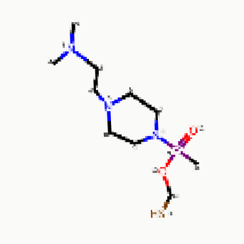 CN(C)CCN1CCN(P(C)(=O)OCS)CC1